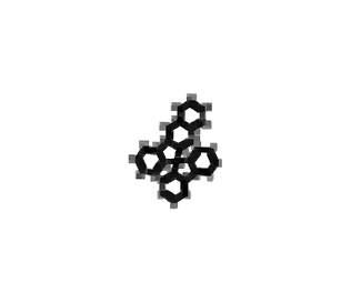 c1ccc2c(c1)-c1ccccc1C21c2ccccc2-c2cc3ccccc3cc21